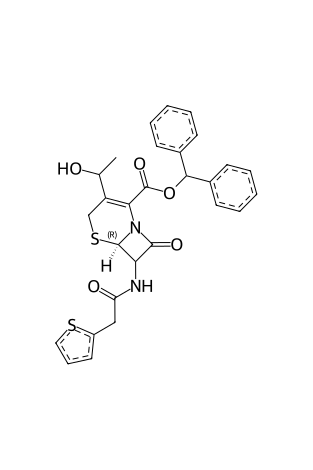 CC(O)C1=C(C(=O)OC(c2ccccc2)c2ccccc2)N2C(=O)C(NC(=O)Cc3cccs3)[C@H]2SC1